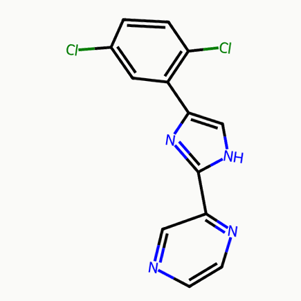 Clc1ccc(Cl)c(-c2c[nH]c(-c3cnccn3)n2)c1